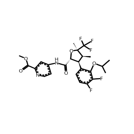 COC(=O)c1cc(NC(=O)[C@@H]2O[C@@](C)(C(F)(F)F)[C@@H](C)[C@H]2c2ccc(F)c(F)c2OC(C)C)ccn1